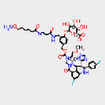 COCCN(Cn1nc2c3c(cc(F)cc3c1=O)N[C@H](c1ccc(F)cc1)[C@H]2c1ncnn1C)C(=O)OCc1ccc(O[C@@H]2O[C@H](C(=O)O)[C@@H](O)[C@H](O)[C@H]2O)c(CNC(=O)CCNC(=O)CCCCCON)c1